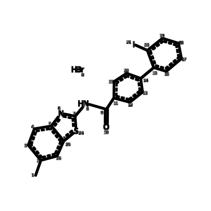 Br.Cc1ccc2nc(NC(=O)c3ccc(-c4ccccc4I)cc3)sc2c1